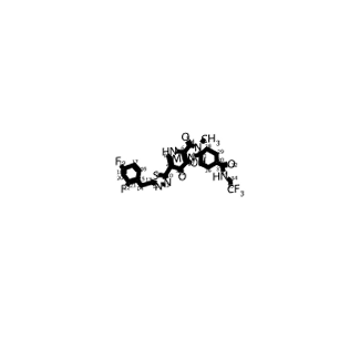 CNC1(N(C)C(=O)c2[nH]cc(-c3nnc(Cc4ccc(F)cc4F)s3)c(=O)c2O)CCC(C(=O)NCC(F)(F)F)CC1